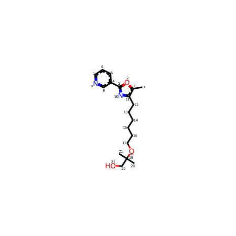 Cc1oc(-c2cccnc2)nc1CCCCCCOC(C)(C)CO